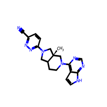 C[C@]12CN(c3ccc(C#N)nn3)CC1CCN(c1ncnc3[nH]ccc13)C2